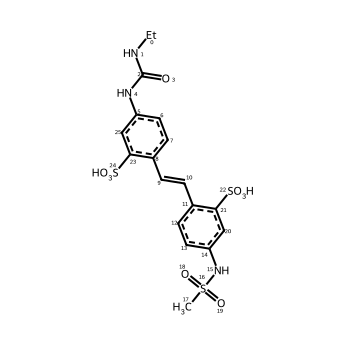 CCNC(=O)Nc1ccc(/C=C/c2ccc(NS(C)(=O)=O)cc2S(=O)(=O)O)c(S(=O)(=O)O)c1